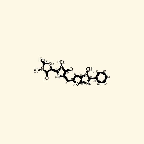 CCN1C(=O)/C(=c2\s/c(=C/c3cc4c(nc(-c5ccccc5)n4C)s3)c(=O)n2CC)SC1=S